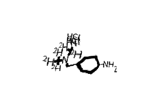 Cl.Cl.[2H]C([2H])([2H])N(C[C@H]1CC[C@H](N)CC1)C([2H])([2H])[2H]